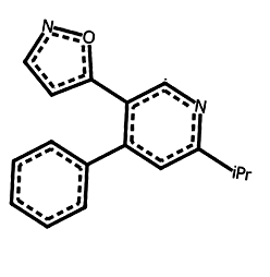 CC(C)c1cc(-c2ccccc2)c(-c2ccno2)[c]n1